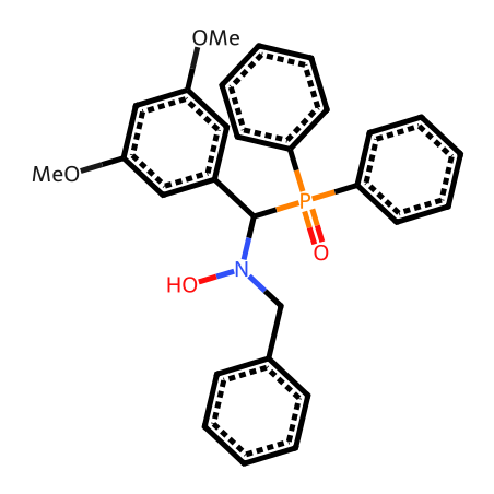 COc1cc(OC)cc(C(N(O)Cc2ccccc2)P(=O)(c2ccccc2)c2ccccc2)c1